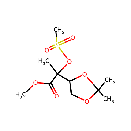 COC(=O)C(C)(OS(C)(=O)=O)C1COC(C)(C)O1